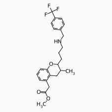 COC(=O)Cc1cccc2c1CC(C)C(CCCNCc1ccc(C(F)(F)F)cc1)O2